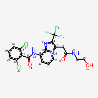 O=C(Cc1c(C(F)(F)F)nc2c(NC(=O)c3c(Cl)cccc3Cl)cccn12)NCCO